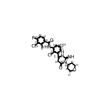 C[C@@H]1C[C@H](N2C(=N)N[C@](C)(c3cccc(NC(=O)c4ccc(F)c(Cl)c4F)c3Cl)CC2=O)CCO1.Cl